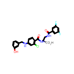 O=C(NC[C@H](NC(=O)c1ccc(NCc2cccc(O)c2)cc1Cl)C(=O)O)c1cc(F)cc(F)c1